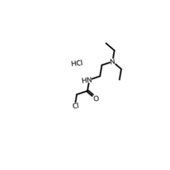 CCN(CC)CCNC(=O)CCl.Cl